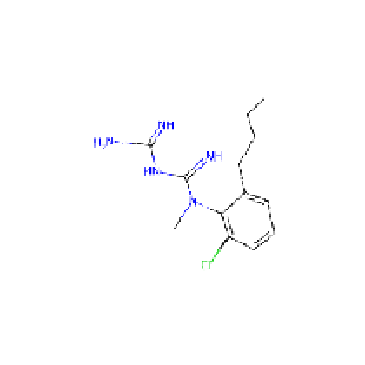 CCCCc1cccc(Cl)c1N(C)C(=N)NC(=N)N